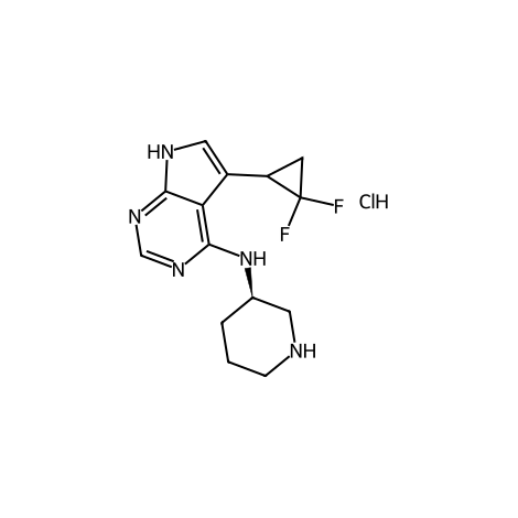 Cl.FC1(F)CC1c1c[nH]c2ncnc(N[C@@H]3CCCNC3)c12